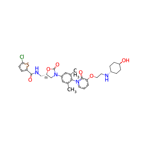 Cc1cc(N2C[C@H](CNC(=O)c3ccc(Cl)s3)OC2=O)cc(C)c1-n1cccc(OCCN[C@H]2CC[C@H](O)CC2)c1=O